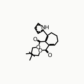 CC(C)COC(=O)C1=CCCCC(c2ccc[nH]2)=C1C(=O)OCC(C)C